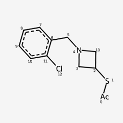 CC(=O)SC1CN(Cc2ccccc2Cl)C1